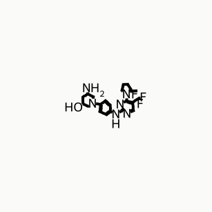 CC1CCCN1c1nc(Nc2ccc(N3CC(N)CC(O)C3)cc2)ncc1C(F)(F)F